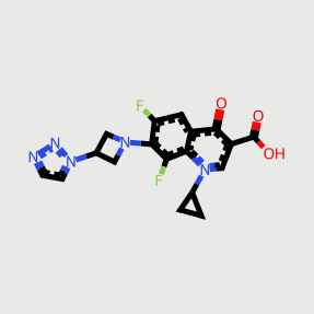 O=C(O)c1cn(C2CC2)c2c(F)c(N3CC(n4ccnn4)C3)c(F)cc2c1=O